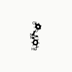 Cn1c(COc2cccc(Cl)c2)nnc1[C@H]1CC[C@H](CO)CC1